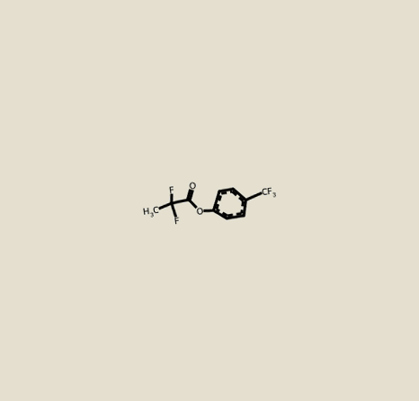 CC(F)(F)C(=O)Oc1ccc(C(F)(F)F)cc1